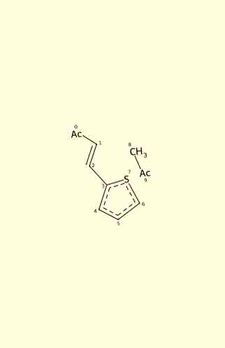 CC(=O)/C=C/c1cccs1.CC(C)=O